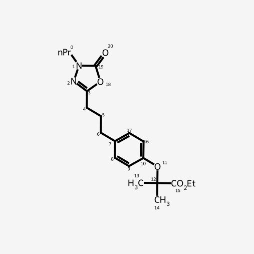 CCCn1nc(CCCc2ccc(OC(C)(C)C(=O)OCC)cc2)oc1=O